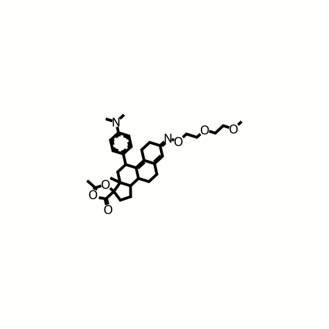 COCCOCCO/N=C1\C=C2CCC3C(=C2CC1)C(c1ccc(N(C)C)cc1)CC1(C)C3CCC1(OC(C)=O)C(C)=O